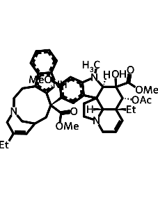 CCC1=CC2CN(CCc3c([nH]c4ccccc34)[C@@](C(=O)OC)(c3cc4c(cc3OC)N(C)[C@H]3C(O)(C(=O)OC)[C@H](OC(C)=O)[C@]5(CC)C=CCN6CCC43[C@@H]65)C2)C1